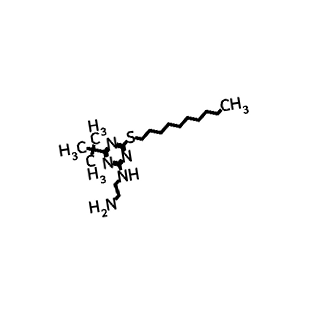 CCCCCCCCCCSc1nc(NCCN)nc(C(C)(C)C)n1